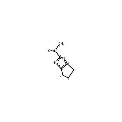 C[NH+]([O-])c1nc2c(s1)CCC2